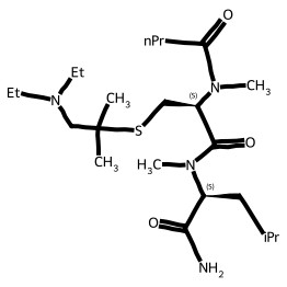 CCCC(=O)N(C)[C@H](CSC(C)(C)CN(CC)CC)C(=O)N(C)[C@@H](CC(C)C)C(N)=O